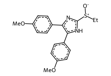 CC[S+]([O-])c1nc(-c2ccc(OC)cc2)c(-c2ccc(OC)cc2)[nH]1